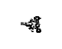 C=C(C(=O)NCC1(c2ccccc2)CCN(C)CC1)/C(F)=C(\C=C/N)Sc1cnc(Nc2cc(C)ccn2)s1